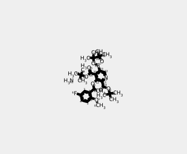 COc1ccc(F)cc1C(C)Oc1c(C(=O)OC(C)(C)C)ncc(B2OC(C)(C)C(C)(C)O2)c1C(=O)OC(C)(C)C.N